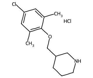 Cc1cc(Cl)cc(C)c1OCC1CCCNC1.Cl